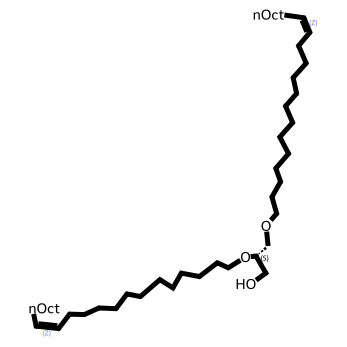 CCCCCCCC/C=C\CCCCCCCCCCCCOC[C@H](CO)OCCCCCCCCCCCC/C=C\CCCCCCCC